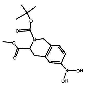 COC(=O)C1Cc2cc(B(O)O)ccc2CN1C(=O)OC(C)(C)C